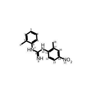 Cc1ccccc1NC(=N)Nc1ccc([N+](=O)[O-])cc1C